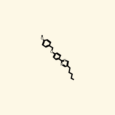 CCCCCc1cnc(-c2ccc(OCc3ccc(OC)cc3)cc2)nc1